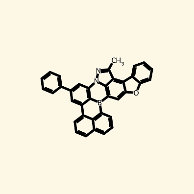 Cc1nn2c3c(cc4oc5ccccc5c4c13)B1c3c(cc(-c4ccccc4)cc3-2)-c2cccc3cccc1c23